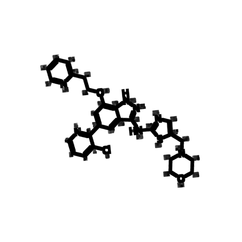 Clc1cccnc1-c1cc(OCCc2ccccn2)c2[nH]nc(Nc3ncc(CN4CCOCC4)s3)c2c1